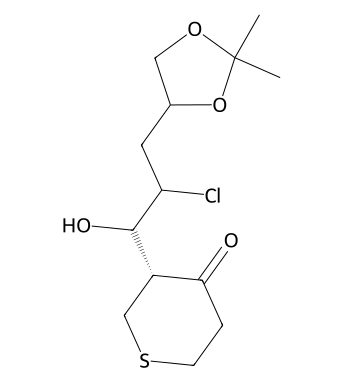 CC1(C)OCC(CC(Cl)C(O)[C@H]2CSCCC2=O)O1